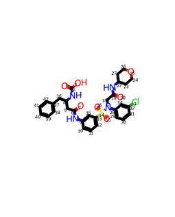 O=C(O)NC(CC(=O)Nc1cccc(S(=O)(=O)N(CC(=O)NC2CCOCC2)c2cccc(Cl)c2)c1)Cc1ccccc1